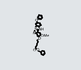 COc1cc2c(Nc3ccc(Oc4ccccc4)cc3C)ncnc2cc1OCCCCCC(=O)OCc1ccccc1